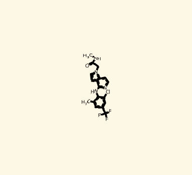 CNC(=O)Cn1ccc2c(Nc3c(C)cc(C(F)(F)F)cc3Cl)nccc21